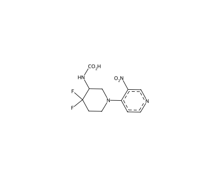 O=C(O)NC1CN(c2ccncc2[N+](=O)[O-])CCC1(F)F